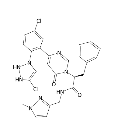 Cn1ccc(CNC(=O)[C@H](Cc2ccccc2)n2cnc(-c3cc(Cl)ccc3N3C=C(Cl)NN3)cc2=O)n1